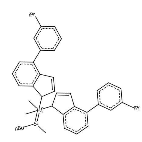 CCCC[Si](C)=[Hf]([CH3])([CH3])([CH]1C=Cc2c(-c3cccc(C(C)C)c3)cccc21)[CH]1C=Cc2c(-c3cccc(C(C)C)c3)cccc21